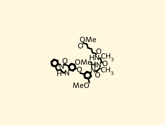 COCc1cc(COc2cc3c(cc2OC)C(=O)N2c4ccccc4C[C@H]2C=N3)cc(NC(=O)[C@H](C)NC(=O)[C@H](C)NC(=O)CCCCC(=O)OC)c1